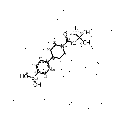 CC(C)(C)OC(=O)N1CCC(c2ccc(B(O)O)cn2)CC1